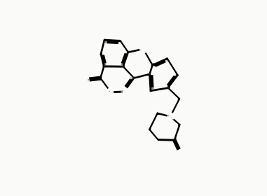 O=C1CCCN(Cc2ccc3c(c2)-c2n[nH]c(=O)c4cccc(c24)O3)C1